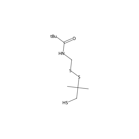 CC(C)(CS)SSCNC(=O)C(C)(C)C